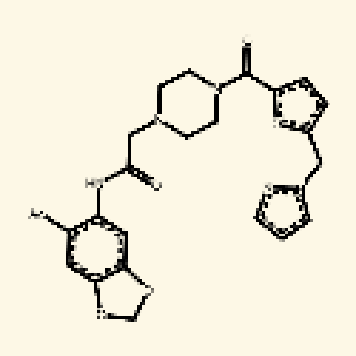 CC(=O)c1cc2c(cc1NC(=O)CN1CCN(C(=O)c3ccc(Cn4cccn4)o3)CC1)OCO2